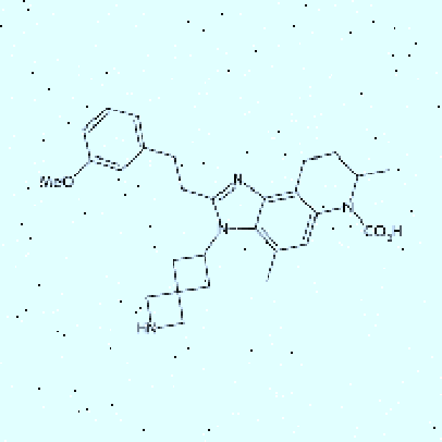 COc1cccc(CCc2nc3c4c(cc(C)c3n2C2CC3(CNC3)C2)N(C(=O)O)C(C)CC4)c1